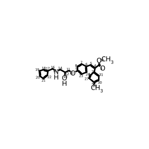 COC(=O)/C(=C/c1ccc(OCC(O)CNCc2ccccc2)cc1)c1ccc(C)cc1